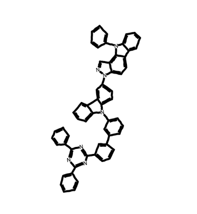 c1ccc(-c2nc(-c3ccccc3)nc(-c3cccc(-c4cccc(-n5c6ccccc6c6cc(-n7ncc8c7ccc7c9ccccc9n(-c9ccccc9)c78)ccc65)c4)c3)n2)cc1